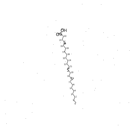 CCCCCCCCSCCSCCCCCCCCSCCS(=O)O